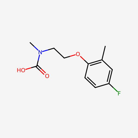 Cc1cc(F)ccc1OCCN(C)C(=O)O